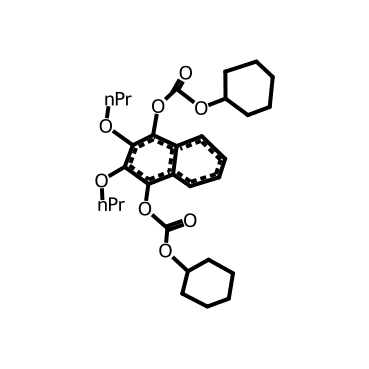 CCCOc1c(OCCC)c(OC(=O)OC2CCCCC2)c2ccccc2c1OC(=O)OC1CCCCC1